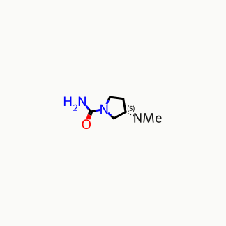 CN[C@H]1CCN(C(N)=O)C1